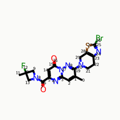 Cc1cc2nc(C(=O)N3CC(C)(F)C3)cc(=O)n2nc1N1CCc2nc(Br)sc2C1